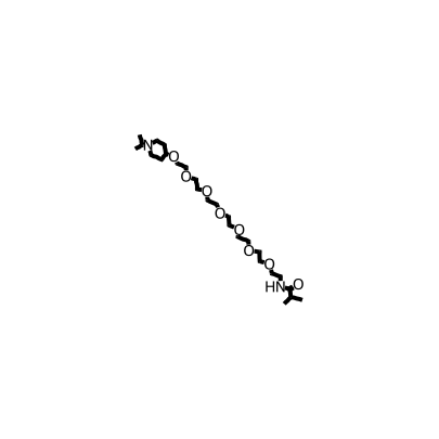 CC(C)C(=O)NCCOCCOCCOCCOCCOCCOCCOC1CCN(C(C)C)CC1